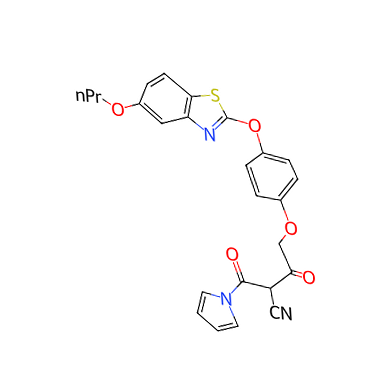 CCCOc1ccc2sc(Oc3ccc(OCC(=O)C(C#N)C(=O)n4cccc4)cc3)nc2c1